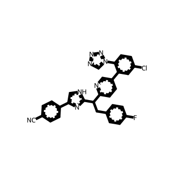 N#Cc1ccc(-c2c[nH]c(C(Cc3ccc(F)cc3)c3ccc(-c4cc(Cl)ccc4-n4cnnn4)cn3)n2)cc1